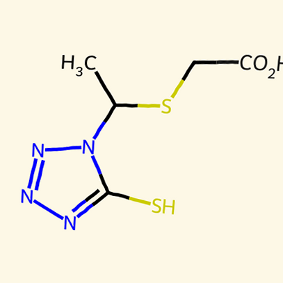 CC(SCC(=O)O)n1nnnc1S